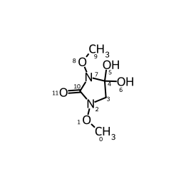 CON1CC(O)(O)N(OC)C1=O